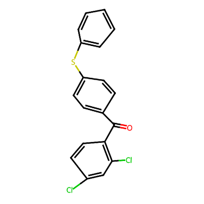 O=C(c1ccc(Sc2ccccc2)cc1)c1ccc(Cl)cc1Cl